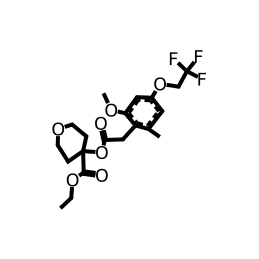 CCOC(=O)C1(OC(=O)Cc2c(C)cc(OCC(F)(F)F)cc2OC)CCOCC1